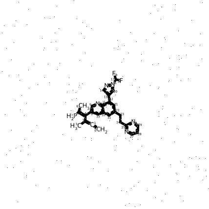 C=C=C(C)/C(=C(/C)P)c1cnc2c(-c3cnn(C(F)F)c3)cc(CCc3ncccn3)cc2c1